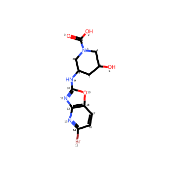 O=C(O)N1CC(O)CC(Nc2nc3nc(Br)ccc3o2)C1